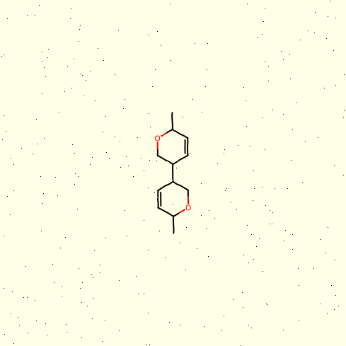 CC1C=CC(C2C=CC(C)OC2)CO1